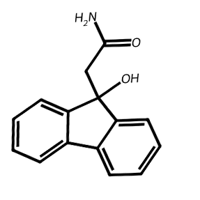 NC(=O)CC1(O)c2ccccc2-c2ccccc21